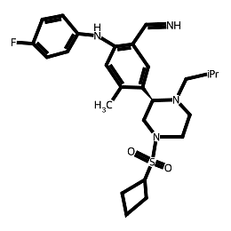 Cc1cc(Nc2ccc(F)cc2)c(C=N)cc1[C@@H]1CN(S(=O)(=O)C2CCC2)CCN1CC(C)C